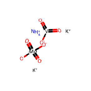 [K+].[K+].[NH4+].[O]=[Mo](=[O])([O-])[O-].[O]=[V](=[O])[O-]